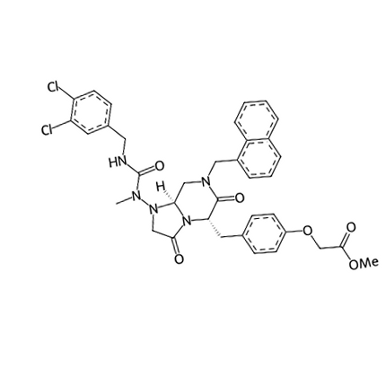 COC(=O)COc1ccc(C[C@H]2C(=O)N(Cc3cccc4ccccc34)C[C@H]3N2C(=O)CN3N(C)C(=O)NCc2ccc(Cl)c(Cl)c2)cc1